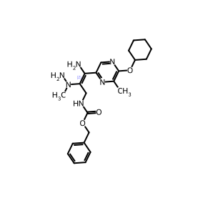 Cc1nc(/C(N)=C(\CNC(=O)OCc2ccccc2)N(C)N)cnc1OC1CCCCC1